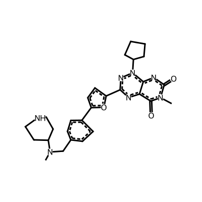 CN(Cc1ccc(-c2ccc(-c3nc4c(=O)n(C)c(=O)nc-4n(C4CCCC4)n3)o2)cc1)C1CCNCC1